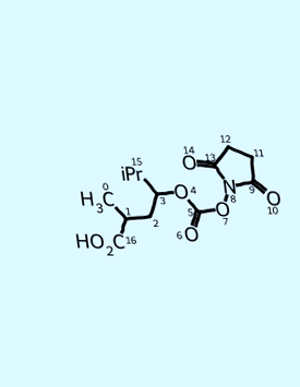 CC(CC(OC(=O)ON1C(=O)CCC1=O)C(C)C)C(=O)O